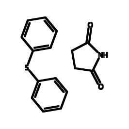 O=C1CCC(=O)N1.c1ccc(Sc2ccccc2)cc1